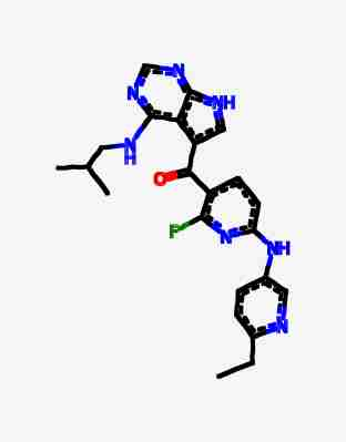 CCc1ccc(Nc2ccc(C(=O)c3c[nH]c4ncnc(NCC(C)C)c34)c(F)n2)cn1